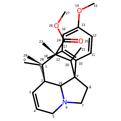 CC[C@@]12C=CCN3CCC(c4ccc(OC)cc4C)(C31)C(C)[C@@](C)(C(=O)OC)[C@@H]2C